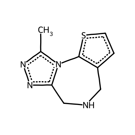 Cc1nnc2n1-c1sccc1CNC2